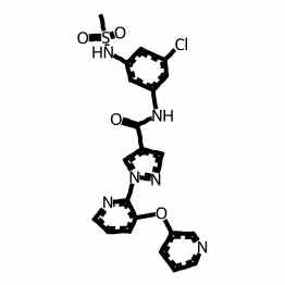 CS(=O)(=O)Nc1cc(Cl)cc(NC(=O)c2cnn(-c3ncccc3Oc3cccnc3)c2)c1